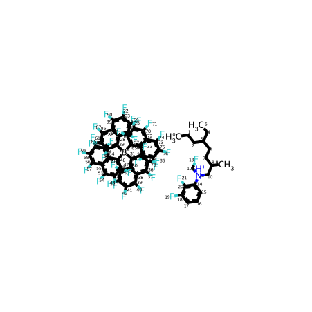 CCCC(CC)CCC(C)C[NH+](CF)c1cccc(F)c1F.Fc1c(F)c(F)c2c([B-](c3c(F)c(F)c(F)c4c(F)c(F)c(F)c(F)c34)(c3c(F)c(F)c(F)c4c(F)c(F)c(F)c(F)c34)c3c(F)c(F)c(F)c4c(F)c(F)c(F)c(F)c34)c(F)c(F)c(F)c2c1F